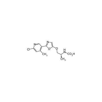 Cc1cc(Cl)ncc1-c1ncc(OC[C@H](C)NC(=O)O)o1